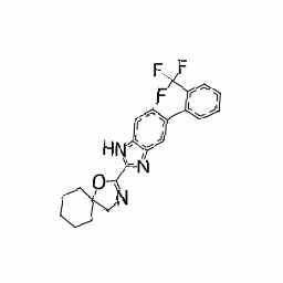 FC(F)(F)c1ccccc1-c1ccc2[nH]c(C3=NCC4(CCCCC4)O3)nc2c1